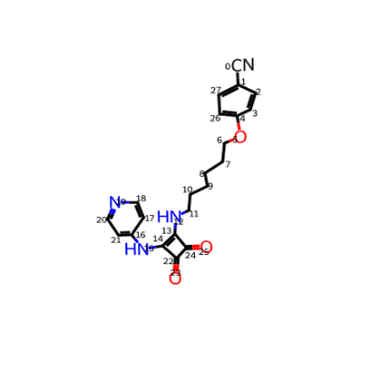 N#Cc1ccc(OCCCCCCNc2c(Nc3ccncc3)c(=O)c2=O)cc1